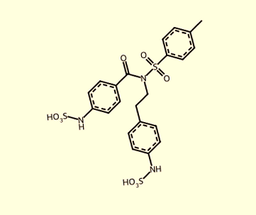 Cc1ccc(S(=O)(=O)N(CCc2ccc(NS(=O)(=O)O)cc2)C(=O)c2ccc(NS(=O)(=O)O)cc2)cc1